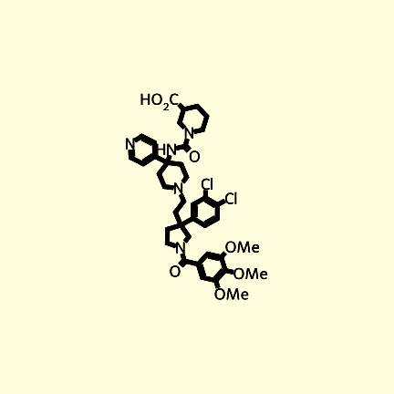 COc1cc(C(=O)N2CCC(CCN3CCC(NC(=O)N4CCCC(C(=O)O)C4)(c4ccncc4)CC3)(c3ccc(Cl)c(Cl)c3)C2)cc(OC)c1OC